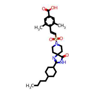 CCCCC1CCC(C2=NC3(CCN(S(=O)(=O)C=Cc4c(C)cc(C(=O)O)cc4C)CC3)C(=O)N2)CC1